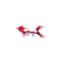 CCN1/C(=C/C=C/C2=[N+](CCCCCC(=O)NCCSSCCC(=O)NCC#Cc3cn(C4CC(OCN=[N+]=[N-])C(COP(=O)(O)OP(=O)(O)OP(=O)(O)O)O4)c(=O)[nH]c3=O)c3ccc(SOOO)cc3C2(C)C)C(C)(C)c2cc(S(=O)(=O)O)ccc21